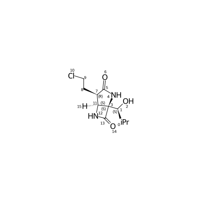 CC(C)[C@H](O)[C@@]12NC(=O)[C@H](CCCl)[C@@H]1NC2=O